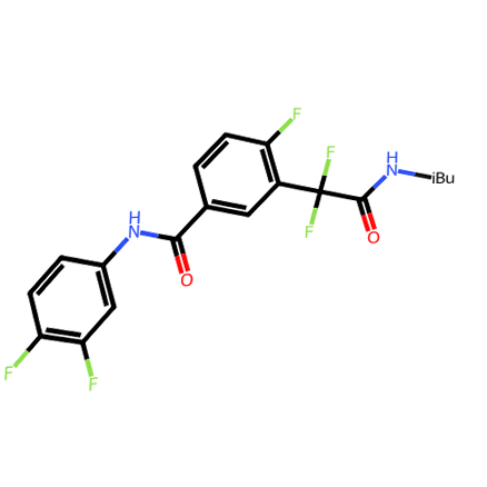 CCC(C)NC(=O)C(F)(F)c1cc(C(=O)Nc2ccc(F)c(F)c2)ccc1F